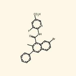 Cc1c(-c2ccccc2)cc2ccc(Br)cc2c1C(=O)Nc1ncc(C(=O)O)cc1F